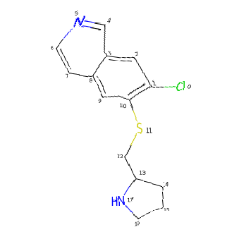 Clc1cc2cnccc2cc1SCC1CCCN1